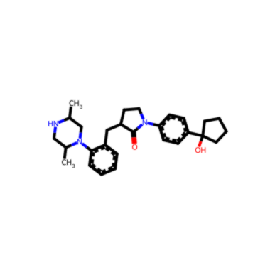 CC1CN(c2ccccc2CC2CCN(c3ccc(C4(O)CCCC4)cc3)C2=O)C(C)CN1